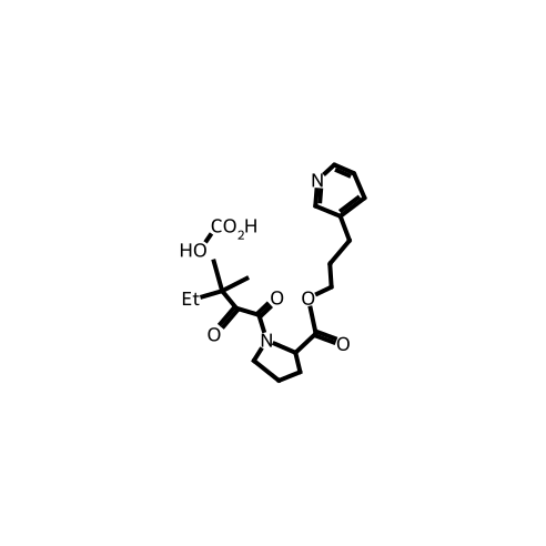 CCC(C)(C)C(=O)C(=O)N1CCCC1C(=O)OCCCc1cccnc1.O=C(O)O